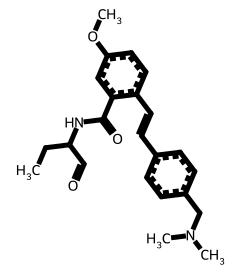 CCC(C=O)NC(=O)c1cc(OC)ccc1/C=C/c1ccc(CN(C)C)cc1